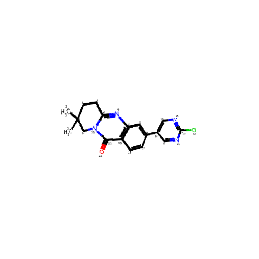 CC1(C)CCc2nc3cc(-c4cnc(Cl)nc4)ccc3c(=O)n2C1